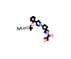 COC(C)(C)COc1ccccc1C1CCN([C@@H]2CCC3(C2)CN(C(=O)C2COC2)C3)CC1